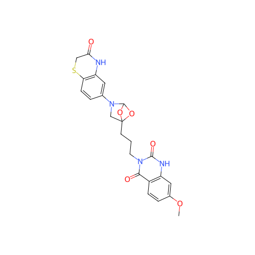 COc1ccc2c(=O)n(CCCC34CN(c5ccc6c(c5)NC(=O)CS6)C(O3)O4)c(=O)[nH]c2c1